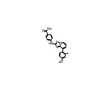 COc1ccc(-c2cccn3nc(Nc4ccc(C(=O)O)cc4)nc23)c(C)c1